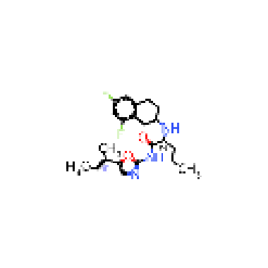 C/C=C(\C)c1cnc(NC(=O)[C@H](CCC)NC2CCc3cc(F)cc(F)c3C2)o1